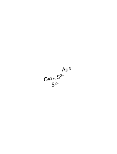 [Au+3].[Ce+3].[S-2].[S-2]